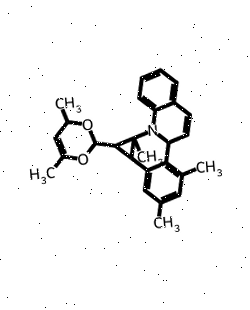 CC1=CC(C)OC(C2C3c4cc(C)cc(C)c4C4C=Cc5ccccc5N4C32C)O1